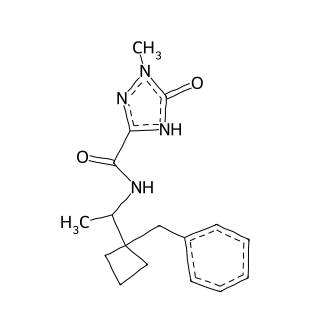 CC(NC(=O)c1nn(C)c(=O)[nH]1)C1(Cc2ccccc2)CCC1